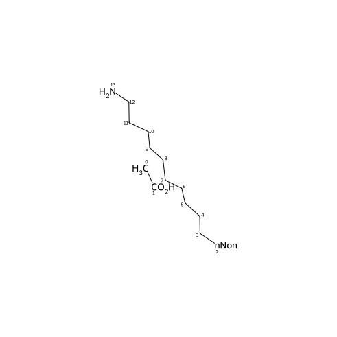 CC(=O)O.CCCCCCCCCCCCCCCCCCCN